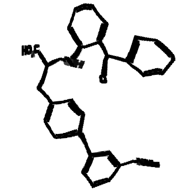 CNc1cccc(-c2ccc(CC(Nc3ccccc3C(=O)c3ccccc3)C(=O)O)cc2)c1